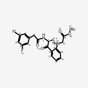 C[C@H](NC(=O)Cc1cc(F)cc(F)c1)C(=O)c1ccccc1NCC(=O)OC(C)(C)C